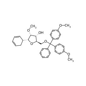 COc1ccc(C(OC[C@H]2O[C@H](C3C=CC=CC3)[C@H](OC)[C@@H]2O)(c2ccccc2)c2ccc(OC)cc2)cc1